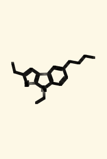 CCCCc1ccc2c(c1)c1cc(CC)sc1n2CC